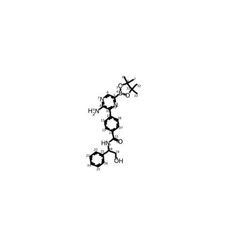 CC1(C)OB(c2cnc(N)c(-c3ccc(C(=O)NC(CO)c4ccccc4)cc3)n2)OC1(C)C